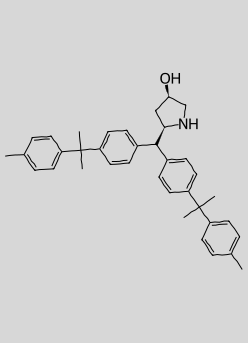 Cc1ccc(C(C)(C)c2ccc(C(c3ccc(C(C)(C)c4ccc(C)cc4)cc3)[C@H]3C[C@@H](O)CN3)cc2)cc1